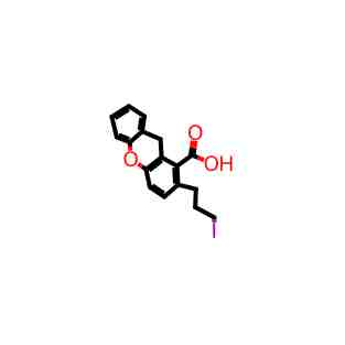 O=C(O)c1c(CCCI)ccc2c1Cc1ccccc1O2